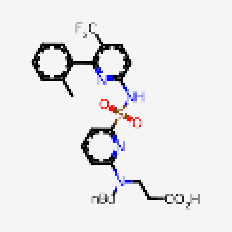 CCCCN(CCC(=O)O)c1cccc(S(=O)(=O)Nc2ccc(C(F)(F)F)c(-c3ccccc3C)n2)n1